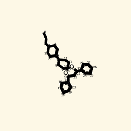 CCCC1CCC(C2CCC3(CC2)OC(c2ccccc2)CC(c2ccccc2)O3)CC1